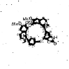 COc1cc2c3cc1Oc1c(OC)c(OC)cc4c1[C@H](Cc1ccc(cc1)Oc1cc(cc5[nH]c(=O)oc15)C[C@H]3N(C)CC2)N(C)CC4